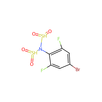 O=[SH](=O)N(c1c(F)cc(Br)cc1F)[SH](=O)=O